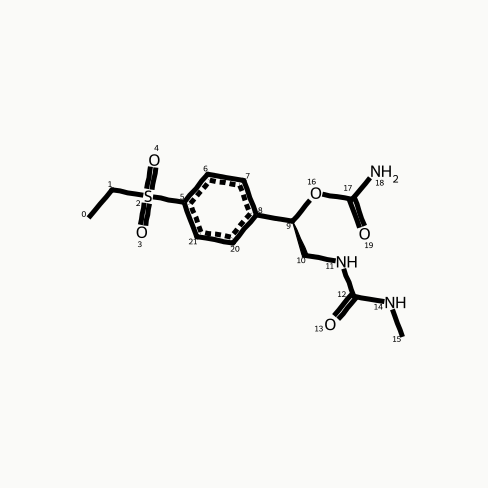 CCS(=O)(=O)c1ccc([C@H](CNC(=O)NC)OC(N)=O)cc1